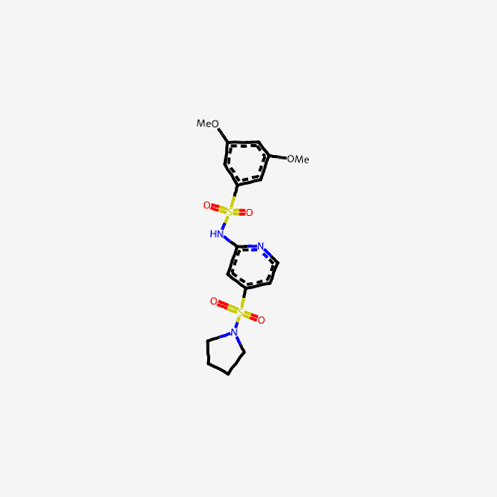 COc1cc(OC)cc(S(=O)(=O)Nc2cc(S(=O)(=O)N3CCCC3)ccn2)c1